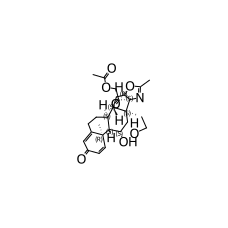 CC(=O)OCC(=O)[C@@]12N=C(C)O[C@@H]1C[C@H]1[C@@H]3CCC4=CC(=O)C=C[C@]4(C)[C@H]3[C@@H](O)C[C@@]12C.CCO